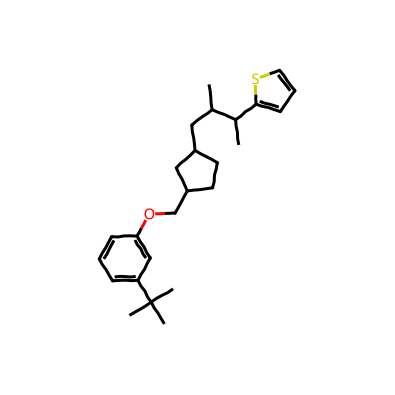 CC(CC1CCC(COc2cccc(C(C)(C)C)c2)C1)C(C)c1cccs1